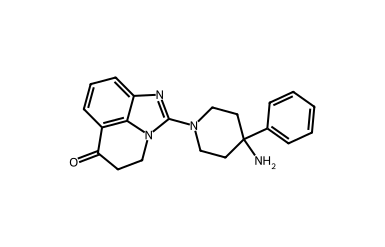 NC1(c2ccccc2)CCN(c2nc3cccc4c3n2CCC4=O)CC1